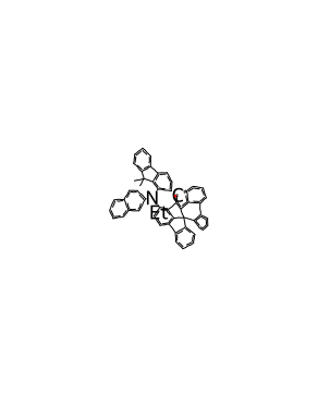 CCc1ccc2cccc3c2c1C1(c2ccccc2-c2ccc(N(c4ccc5ccccc5c4)c4cccc5c4C(C)(C)c4ccccc4-5)cc21)c1ccccc1-3